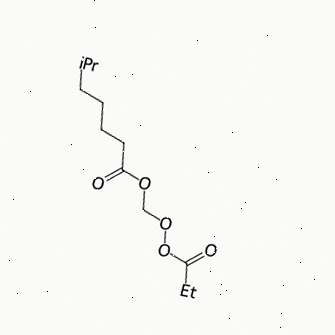 CCC(=O)OOCOC(=O)CCCCC(C)C